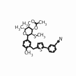 CS[C@H]1C(c2ccc(C)c(Cc3ccc(-c4cccc(C#N)c4)s3)c2)O[C@H](C)[C@@H](C)[C@@H]1OC(C)=O